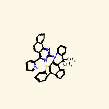 CC1(C)c2ccccc2N(c2nc(-c3ccccn3)c3ccc4ccccc4c3n2)c2c1c1ccccc1c1c2sc2ccccc21